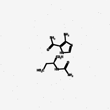 NC(=O)N[C@@H](CC(=O)O)C(=O)O.NC(=O)c1[nH]cnc1N